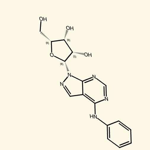 OC[C@H]1O[C@@H](n2ncc3c(Nc4ccccc4)ncnc32)[C@@H](O)[C@H]1O